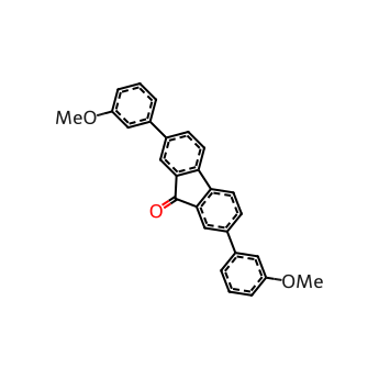 COc1cccc(-c2ccc3c(c2)C(=O)c2cc(-c4cccc(OC)c4)ccc2-3)c1